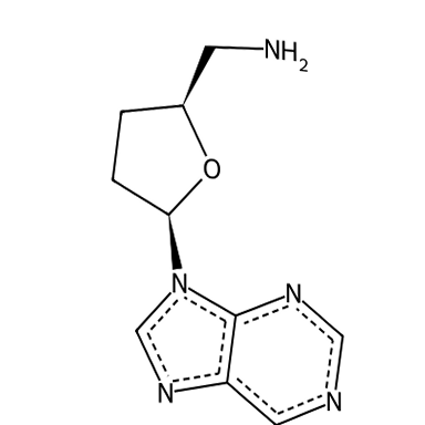 NC[C@@H]1CC[C@H](n2cnc3cncnc32)O1